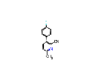 Cc1ccc(-c2ccc(F)cc2)c(C#N)n1